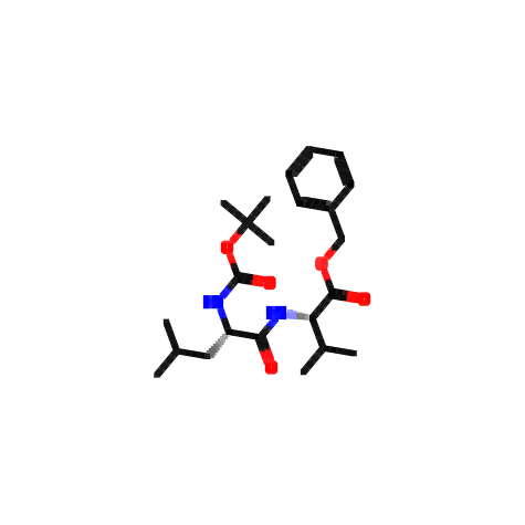 CC(C)C[C@H](NC(=O)OC(C)(C)C)C(=O)N[C@H](C(=O)OCc1ccccc1)C(C)C